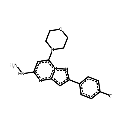 NNc1cc(N2CCOCC2)n2nc(-c3ccc(Cl)cc3)cc2n1